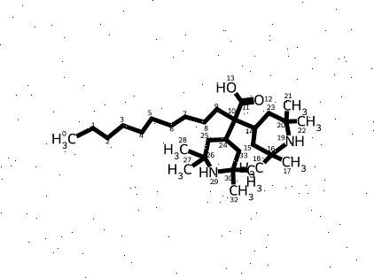 CCCCCCCCCCC(C(=O)O)(C1CC(C)(C)NC(C)(C)C1)C1CC(C)(C)NC(C)(C)C1